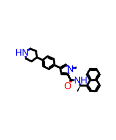 C[C@@H](NC(=O)c1cc(-c2ccc(C3CCNCC3)cc2)cn1C)c1cccc2ccccc12